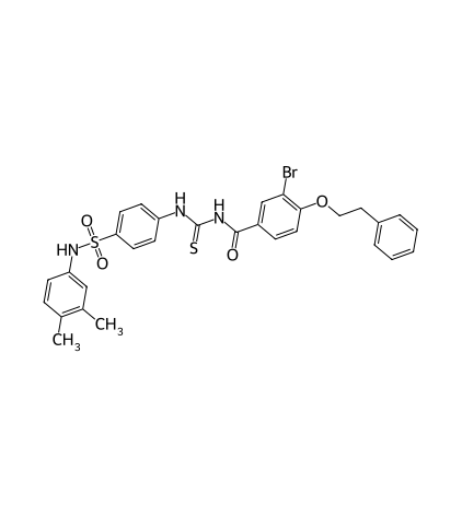 Cc1ccc(NS(=O)(=O)c2ccc(NC(=S)NC(=O)c3ccc(OCCc4ccccc4)c(Br)c3)cc2)cc1C